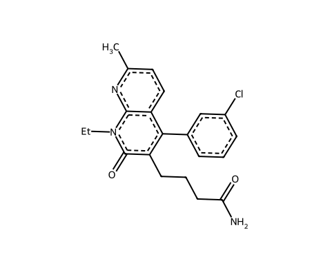 CCn1c(=O)c(CCCC(N)=O)c(-c2cccc(Cl)c2)c2ccc(C)nc21